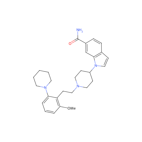 COc1cccc(N2CCCCC2)c1CCN1CCC(n2ccc3ccc(C(N)=O)cc32)CC1